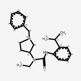 CCN(C(=O)Nc1ccccc1C(C)C)C1CCN(Cc2ccccc2)C1